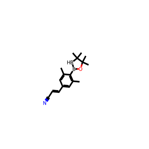 Cc1cc(/C=C/C#N)cc(C)c1B1BC(C)(C)C(C)(C)O1